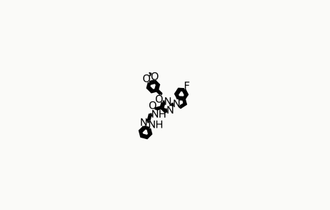 O=C(NCc1nc2ccccc2[nH]1)c1cnc(N2CCc3cc(F)ccc32)nc1OCc1ccc2c(c1)OCO2